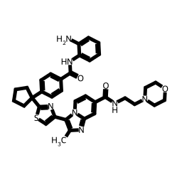 Cc1nc2cc(C(=O)NCCN3CCOCC3)ccn2c1-c1csc(C2(c3ccc(C(=O)Nc4ccccc4N)cc3)CCCC2)n1